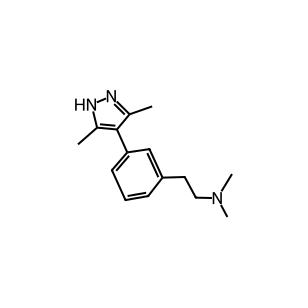 Cc1n[nH]c(C)c1-c1cccc(CCN(C)C)c1